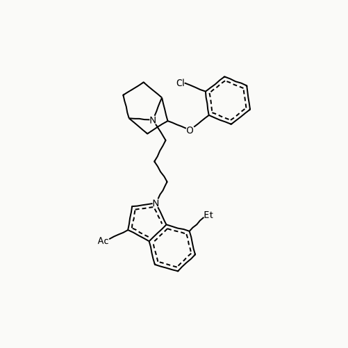 CCc1cccc2c(C(C)=O)cn(CCCN3C4CCC3C(Oc3ccccc3Cl)C4)c12